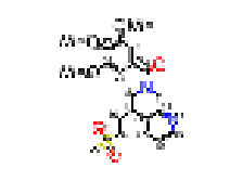 COc1cc(C(=O)N(C)CC(CCS(C)(=O)=O)c2cccnc2)cc(OC)c1OC